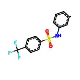 O=S(=O)(Nc1c[c]ccc1)c1ccc(C(F)(F)F)cc1